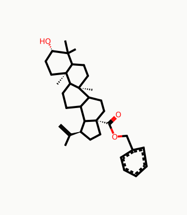 C=C(C)[C@@H]1CC[C@]2(C(=O)OCc3ccccc3)CCC3C(CCC4[C@@]3(C)CCC3C(C)(C)[C@@H](O)CC[C@@]34C)C12